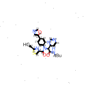 C#Cc1nc(C(=O)N(c2ccc(-c3cnco3)cc2)C(C(=O)NC(C)(C)C)c2ccncn2)cs1